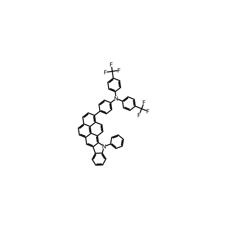 FC(F)(F)c1ccc(N(c2ccc(-c3ccc4ccc5cc6c7ccccc7n(-c7ccccc7)c6c6ccc3c4c56)cc2)c2ccc(C(F)(F)F)cc2)cc1